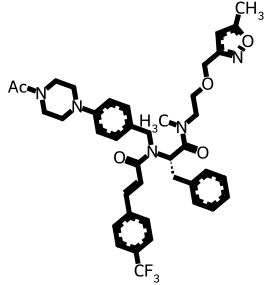 CC(=O)N1CCN(c2ccc(CN(C(=O)C=Cc3ccc(C(F)(F)F)cc3)[C@@H](Cc3ccccc3)C(=O)N(C)CCOCc3cc(C)on3)cc2)CC1